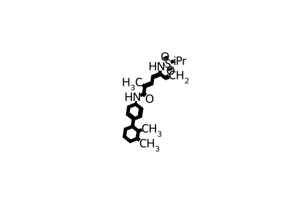 C=C/C(=C\C=C(/C)C(=O)N[C@H]1C=CC(C2CCCC(C)C2C)=CC1)NS(=O)(=O)C(C)C